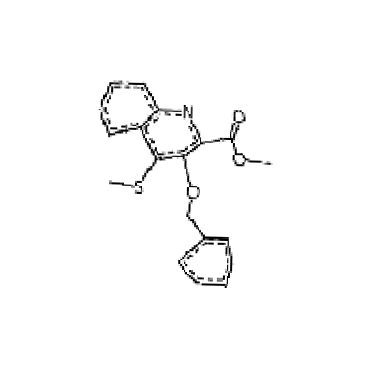 COC(=O)c1nc2ccccc2c(SC)c1OCc1ccccc1